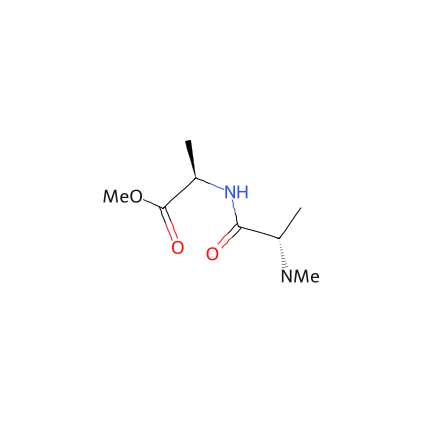 CN[C@@H](C)C(=O)N[C@H](C)C(=O)OC